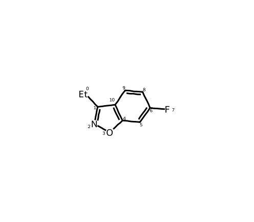 CCc1noc2cc(F)ccc12